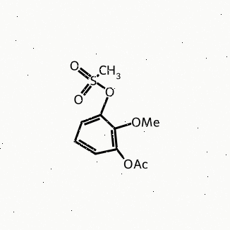 COc1c(OC(C)=O)cccc1OS(C)(=O)=O